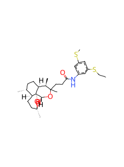 CCSc1cc(NC(=O)CCC2(C)O[C@@H]3O[C@]4(C)CC[C@H]5[C@H](C)CC[C@@H]([C@H]2C)[C@@]35OO4)cc(SC)c1